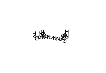 Nc1ncnc2c1c(-c1ccc(Oc3ccccc3)cc1)nn2C1CCN(C2CCC3(CC2)CN(C2CN(c4ccc5c(c4)C(=O)N(C4CCCNC4=O)C5=O)C2)C3)CC1